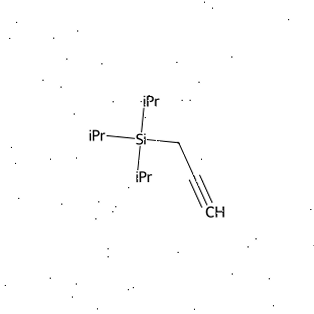 C#CC[Si](C(C)C)(C(C)C)C(C)C